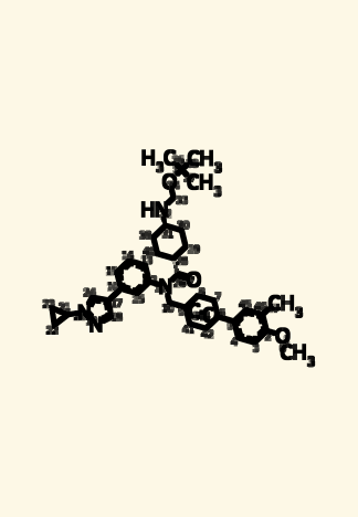 COc1ccc(C23CCC(CN(c4cccc(-c5cnn(C6CC6)c5)c4)C(=O)[C@H]4CC[C@H](NCOC(C)(C)C)CC4)(CC2)CC3)cc1C